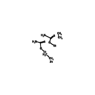 CC.CC.CCOC(N)=S.CCOC(N)=S.[Zn]